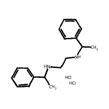 CC(NCCNC(C)c1ccccc1)c1ccccc1.Cl.Cl